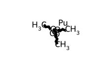 CCCCOP(=O)(OCCCC)OCCCC.[Pu]